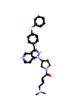 CN(C)C/C=C/C(=O)N1CCC(n2nc(-c3ccc(Oc4ccccc4)cc3)c3cnccc32)C1